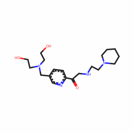 O=C(CNCCN1CC[CH]CC1)c1ccc(CN(CCO)CCO)cn1